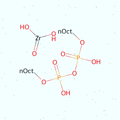 CCCCCCCCOP(=O)(O)OP(=O)(O)OCCCCCCCC.[O]=[Zr]([OH])[OH]